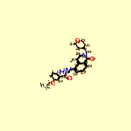 CCOc1cccc(C(=O)Nc2cccc3c(=O)n(CC4CCOCC4)ccc23)c1